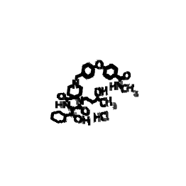 CNC(=O)c1ccc(Oc2ccc(CN3CCC4(CC3)C(=O)N[C@H]([C@H](O)C3CCCCC3)C(=O)N4CCC(C)O)cc2)cc1.Cl